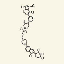 O=C1CCC(N2Cc3cc(N4CCN(CCCS(=O)(=O)N5CCN(c6cccc(-c7cnc8[nH]cc(C9CC9)c8c7Cl)c6)C(=O)C5)CC4)ccc3C2=O)C(=O)N1